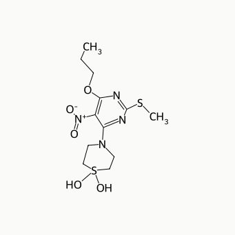 CCCOc1nc(SC)nc(N2CCS(O)(O)CC2)c1[N+](=O)[O-]